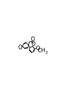 COC1=CC=CC2C1OC(=O)CC21C=CC(=O)C=C1